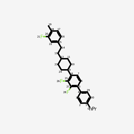 CCCc1ccc(-c2ccc(C3CCC(CCc4ccc(C)c(F)c4)CC3)c(F)c2F)cc1